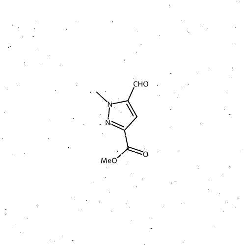 COC(=O)c1cc(C=O)n(C)n1